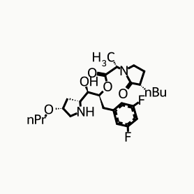 CCCC[C@H]1CCN([C@@H](C)C(=O)O[C@@H](Cc2cc(F)cc(F)c2)[C@H](O)[C@H]2C[C@@H](OCCC)CN2)C1=O